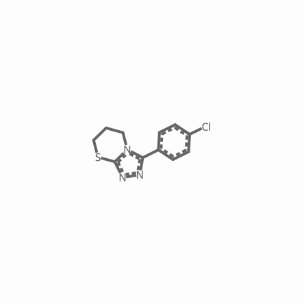 Clc1ccc(-c2nnc3n2CCCS3)cc1